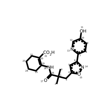 CC(C)(Cc1cc(-c2ccc(O)cn2)no1)C(=O)NC1=C(C(=O)O)CCCC1